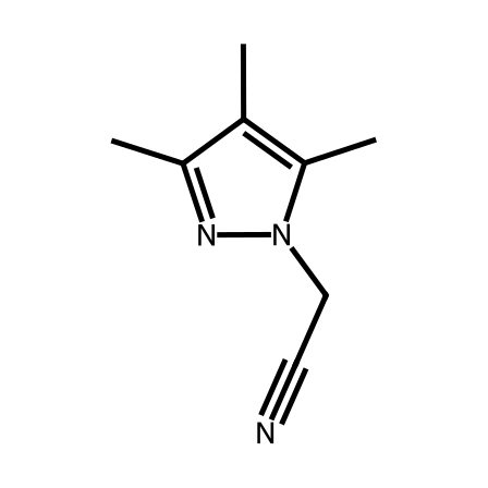 Cc1nn(CC#N)c(C)c1C